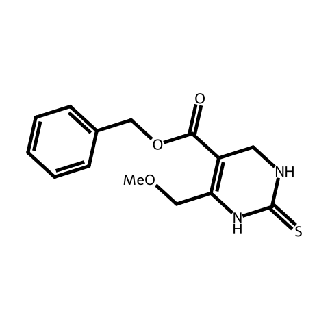 COCC1=C(C(=O)OCc2ccccc2)CNC(=S)N1